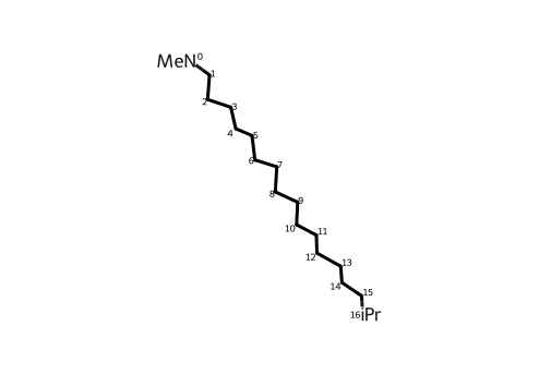 CNCCCCCCCCCCCCCCCC(C)C